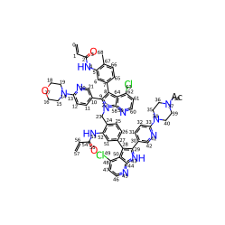 C=CC(=O)Nc1cc(-c2c(-c3ccc(N4CCOCC4)nc3)n(Cc3ccc(-c4c(-c5ccc(N6CCN(C(C)=O)CC6)nc5)[nH]c5nccc(Cl)c45)cc3NC(=O)C=C)c3nccc(Cl)c23)ccc1C